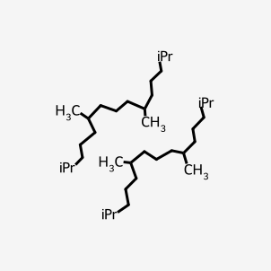 CC(C)CCCC(C)CCCC(C)CCCC(C)C.CC(C)CCCC(C)CCCC(C)CCCC(C)C